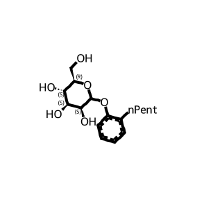 CCCCCc1ccccc1OC1O[C@H](CO)[C@@H](O)[C@H](O)[C@@H]1O